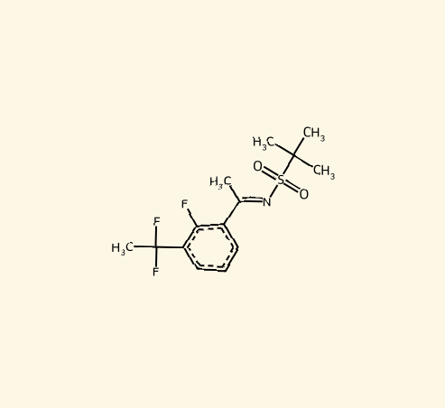 C/C(=N\S(=O)(=O)C(C)(C)C)c1cccc(C(C)(F)F)c1F